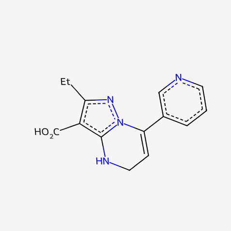 CCc1nn2c(c1C(=O)O)NCC=C2c1cccnc1